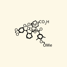 COCOc1cc2c(cc1C(=O)c1ccccc1C(=O)OC1CCCN(C(=O)O)CC1NC(=O)c1cc(C)c(OCOC)c(C)c1)OCO2